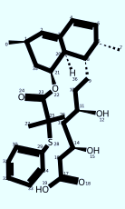 C[C@H]1C=C2C=C[C@H](C)[C@H](CC[C@@H](O)C[C@@H](O)CC(=O)O)[C@H]2[C@@H](OC(=O)C(C)(C)Sc2ccccc2)C1